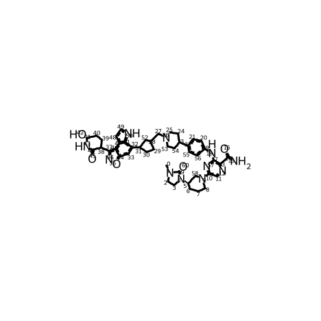 CN1CCN([C@@H]2CCCN(c3cnc(C(N)=O)c(Nc4ccc(C5CCN(CC6CCC(c7cc8onc(C9CCC(O)NC9=O)c8c8cc[nH]c78)C6)CC5)cc4)n3)C2)C1=O